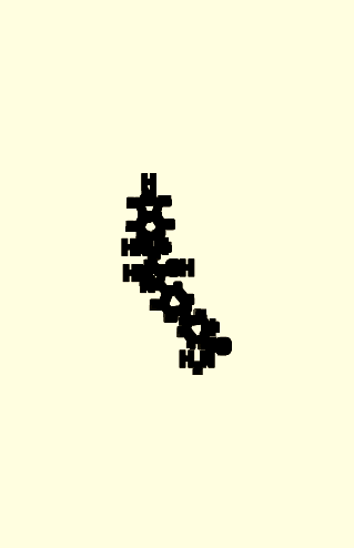 NC(=O)c1ccc(-c2ccc(-c3n[nH]c(-c4nc5cc6c(cc5[nH]4)CNC6)c3O)cc2)cn1